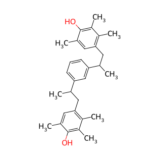 Cc1cc(CC(C)c2cccc(C(C)Cc3cc(C)c(O)c(C)c3C)c2)c(C)c(C)c1O